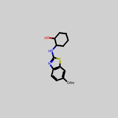 COc1ccc2nc(NC3CCCCC3O)sc2c1